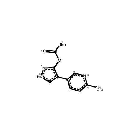 CC(C)(C)C(=O)Oc1n[nH]cc1-c1ccc(N)nc1